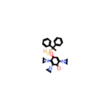 CC(P)(c1ccccc1)c1ccccc1.O=C1C=C(N2CC2)C(=O)C(N2CC2)=C1N1CC1